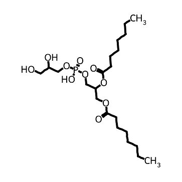 CCCCCCCC(=O)OCC(COP(=O)(O)OCC(O)CO)OC(=O)CCCCCCC